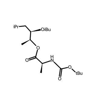 CC(C)CO[C@H](CC(C)C)[C@H](C)OC(=O)[C@H](C)NC(=O)OC(C)(C)C